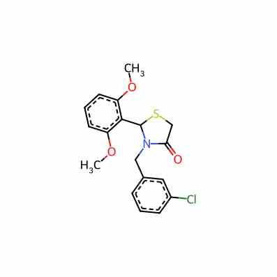 COc1cccc(OC)c1C1SCC(=O)N1Cc1cccc(Cl)c1